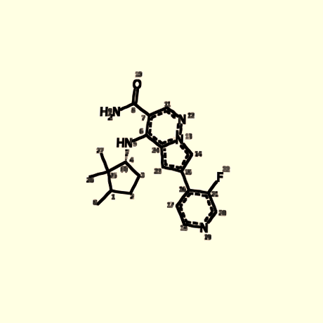 CC1CC[C@@H](Nc2c(C(N)=O)cnn3cc(-c4ccncc4F)cc23)C1(C)C